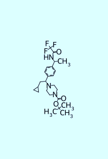 CC(NC(=O)C(F)(F)F)c1ccc(C(CC2CC2)N2CCN(C(=O)OC(C)(C)C)CC2)cc1